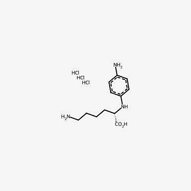 Cl.Cl.Cl.NCCCC[C@H](Nc1ccc(N)cc1)C(=O)O